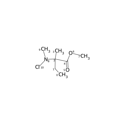 CCC(C)(C(=O)OC)N(C)Cl